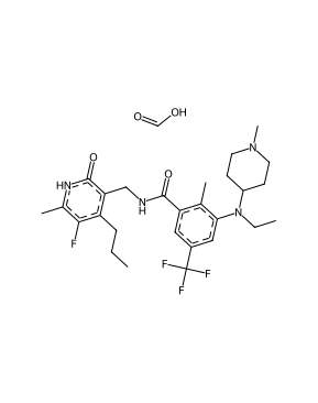 CCCc1c(F)c(C)[nH]c(=O)c1CNC(=O)c1cc(C(F)(F)F)cc(N(CC)C2CCN(C)CC2)c1C.O=CO